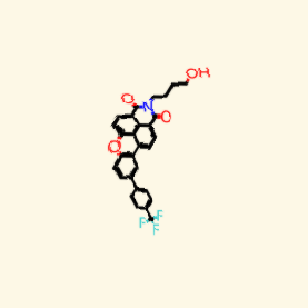 O=c1c2ccc3oc4ccc(-c5ccc(C(F)(F)F)cc5)cc4c4ccc(c(=O)n1CCCCO)c2c34